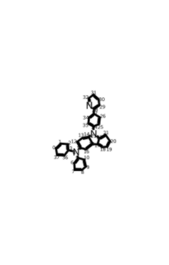 c1ccc(N(c2ccccc2)c2ccc3c(c2)c2ccccc2n3-c2ccc(-c3ccccn3)cc2)cc1